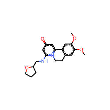 COc1cc2c(cc1OC)-c1cc(=O)cc(NCC3CCCO3)n1CC2